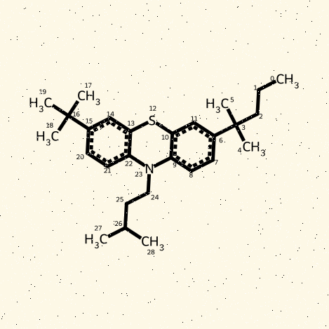 CCCC(C)(C)c1ccc2c(c1)Sc1cc(C(C)(C)C)ccc1N2CCC(C)C